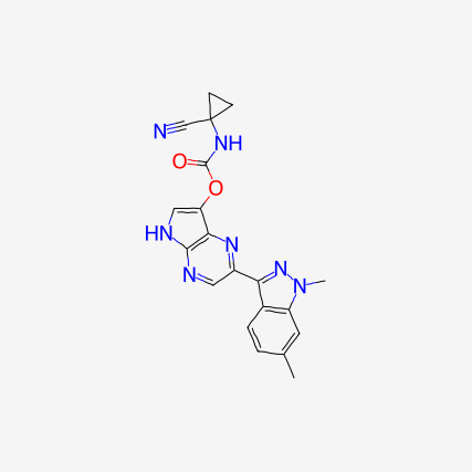 Cc1ccc2c(-c3cnc4[nH]cc(OC(=O)NC5(C#N)CC5)c4n3)nn(C)c2c1